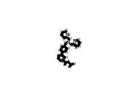 CC(C)CC(C)c1cccc(-c2ccc(CN(Cc3ccccn3)Cc3ccccn3)cc2)c1